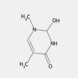 CC1=CN(C)C(O)NC1=O